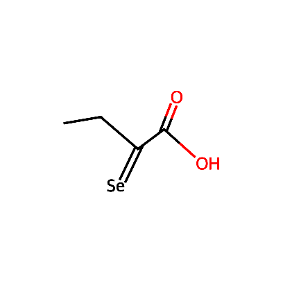 CCC(=[Se])C(=O)O